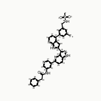 CS(=O)(=O)NCc1cc(F)cc(-c2ccnc3[nH]c(-c4n[nH]c5ccc(-c6cncc(NC(=O)Cc7ccccc7)c6)nc45)cc23)c1